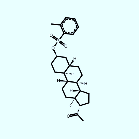 CC(=O)[C@H]1CC[C@H]2[C@@H]3CC[C@H]4C[C@H](OS(=O)(=O)c5ccccc5C)CC[C@]4(C)[C@H]3CC[C@]12C